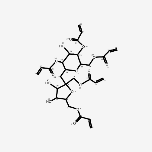 C=CC(=O)OCC1OC(COC(=O)C=C)(CC2OC(COC(=O)C=C)C(OC(=O)C=C)C(O)C2OC(=O)C=C)C(O)C1O